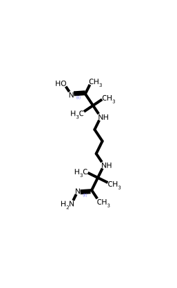 C/C(=N\N)C(C)(C)NCCCNC(C)(C)/C(C)=N/O